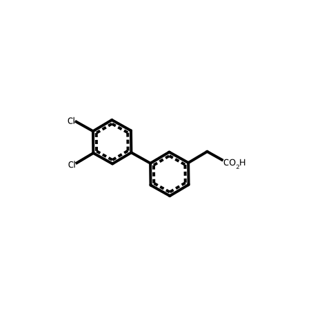 O=C(O)Cc1cccc(-c2ccc(Cl)c(Cl)c2)c1